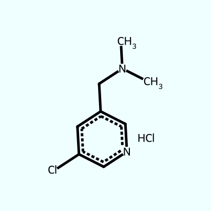 CN(C)Cc1cncc(Cl)c1.Cl